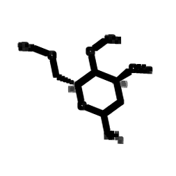 CO[C@H]1CC(N)O[C@H](COC(C)(C)C)C1OC(C)(C)C